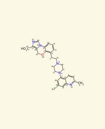 Cc1ccc2c(N3CCN(CCc4cccc5c4OCc4c(C(=O)O)ncn4-5)CC3)cc(F)cc2n1